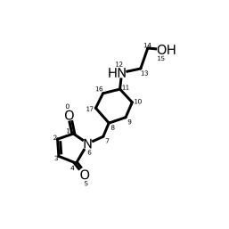 O=C1C=CC(=O)N1CC1CCC(NCCO)CC1